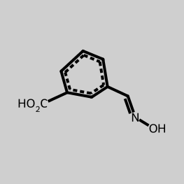 O=C(O)c1cccc(C=NO)c1